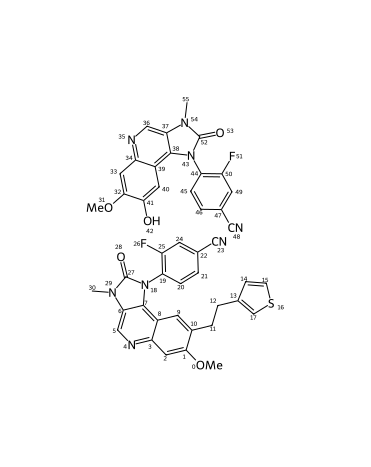 COc1cc2ncc3c(c2cc1CCc1ccsc1)n(-c1ccc(C#N)cc1F)c(=O)n3C.COc1cc2ncc3c(c2cc1O)n(-c1ccc(C#N)cc1F)c(=O)n3C